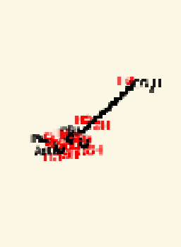 CCCC[C@H](CCC[C@H](O)[C@@H](O)CCCCCCCCCCCCCC[C@H](O)C(=O)O)O[C@H]1OC[C@H](O)[C@@H](O)[C@@H]1O[C@H]1OC[C@H](O)[C@@H](O)[C@@H]1O[C@H]1O[C@@H](COC(=O)CC(C)C)[C@H](OC(C)=O)[C@@H](O)[C@@H]1O